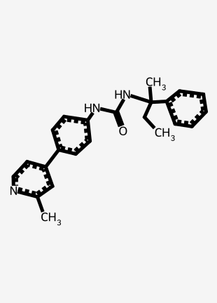 CCC(C)(NC(=O)Nc1ccc(-c2ccnc(C)c2)cc1)c1ccccc1